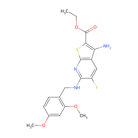 CCOC(=O)c1sc2nc(NCc3ccc(OC)cc3OC)c(F)cc2c1N